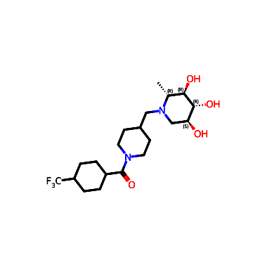 C[C@@H]1[C@@H](O)[C@H](O)[C@@H](O)CN1CC1CCN(C(=O)C2CCC(C(F)(F)F)CC2)CC1